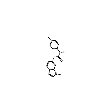 Cc1ccc(N(C)C(=O)Oc2ccc3ccn(C)c3c2)cc1